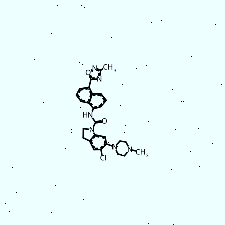 Cc1noc(-c2cccc3c(NC(=O)N4CCc5cc(Cl)c(N6CCN(C)CC6)cc54)cccc23)n1